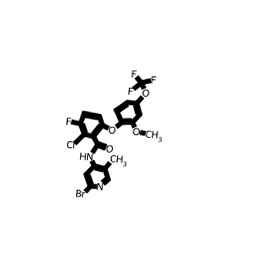 COc1cc(OC(F)(F)F)ccc1Oc1ccc(F)c(Cl)c1C(=O)Nc1cc(Br)ncc1C